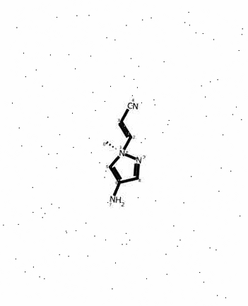 C[N@@+]1(/C=C/C#N)C=C(N)C=N1